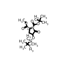 COC(=O)[C@@H]1CC(O[Si](C)(C)C(C)(C)C)C(=O)N1C(=O)OC(C)(C)C